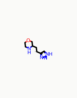 [CH](CC1COCCN1)c1c[nH]nn1